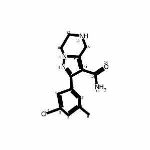 Cc1cc(Cl)cc(-c2nn3c(c2C(N)=O)CNCC3)c1